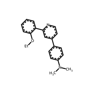 CCOc1ccccc1-c1cc(-c2ccc(N(C)C)cc2)ccn1